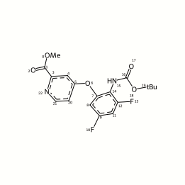 COC(=O)c1cc(Oc2cc(F)cc(F)c2NC(=O)OC(C)(C)C)ccn1